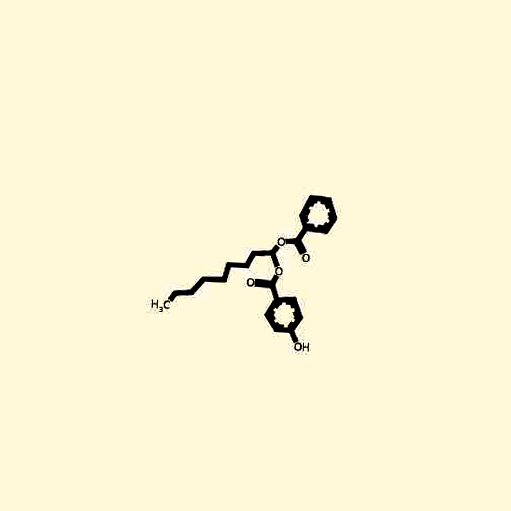 CCCCCCCCC(OC(=O)c1ccccc1)OC(=O)c1ccc(O)cc1